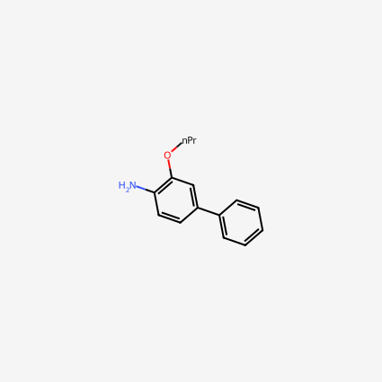 CCCOc1cc(-c2ccccc2)ccc1N